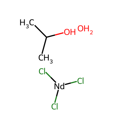 CC(C)O.O.[Cl][Nd]([Cl])[Cl]